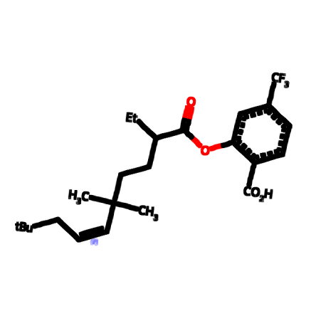 CCC(CCC(C)(C)/C=C\CC(C)(C)C)C(=O)Oc1cc(C(F)(F)F)ccc1C(=O)O